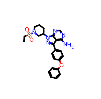 CCS(=O)(=O)N1CCCC(n2nc(-c3ccc(Oc4ccccc4)cc3)c3c(N)ncnc32)C1